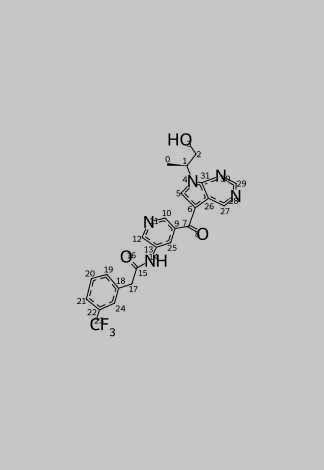 C[C@@H](CO)n1cc(C(=O)c2cncc(NC(=O)Cc3cccc(C(F)(F)F)c3)c2)c2cncnc21